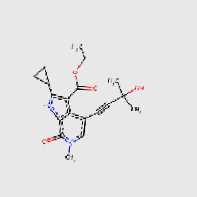 CCOC(=O)c1c(C2CC2)[nH]c2c(=O)n(C)cc(C#CC(C)(C)O)c12